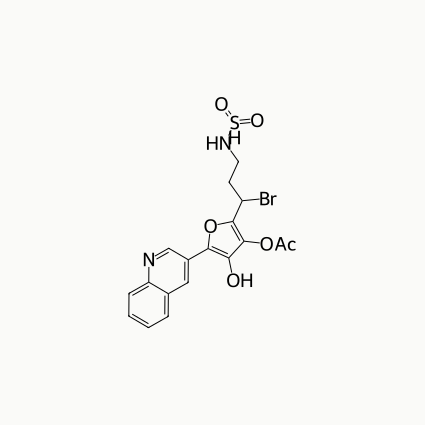 CC(=O)Oc1c(C(Br)CCN[SH](=O)=O)oc(-c2cnc3ccccc3c2)c1O